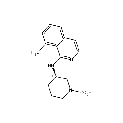 Cc1cccc2ccnc(N[C@@H]3CCCN(C(=O)O)C3)c12